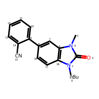 CCCCn1c(=O)n(C)c2cc(-c3ccccc3C#N)ccc21